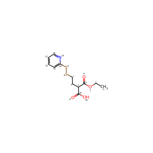 CCOC(=O)C(CCSSc1ccccn1)C(=O)O